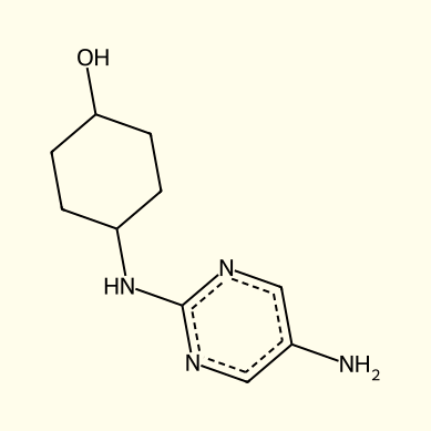 Nc1cnc(NC2CCC(O)CC2)nc1